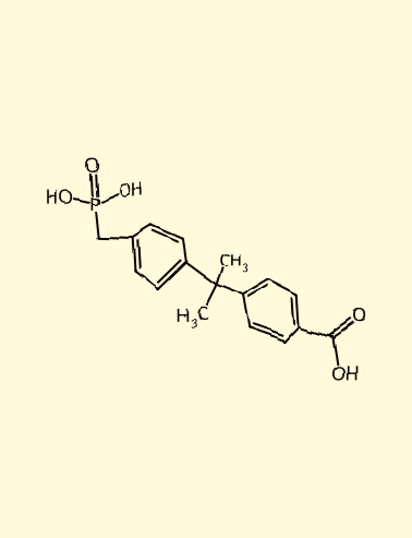 CC(C)(c1ccc(CP(=O)(O)O)cc1)c1ccc(C(=O)O)cc1